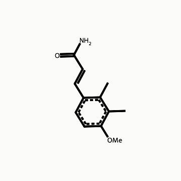 COc1ccc(C=CC(N)=O)c(C)c1C